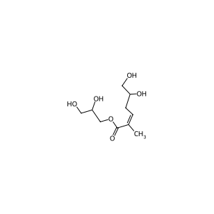 CC(=CCC(O)CO)C(=O)OCC(O)CO